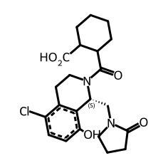 O=C(O)C1CCCCC1C(=O)N1CCc2c(Cl)ccc(O)c2[C@H]1CN1CCCC1=O